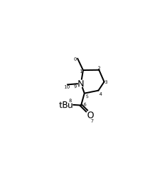 CC1CCCC(C(=O)C(C)(C)C)N1C